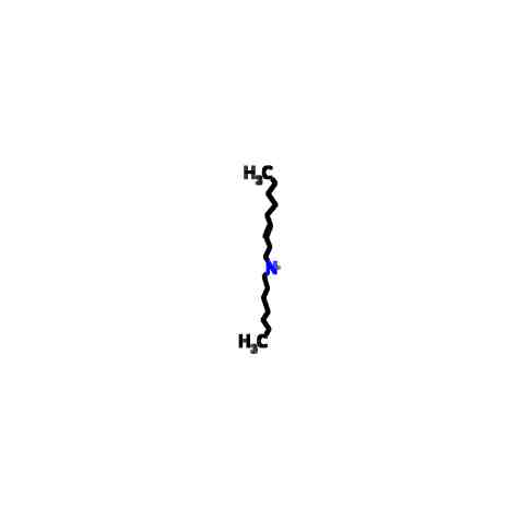 CCCCCC=CCC[N]CCCCCCC